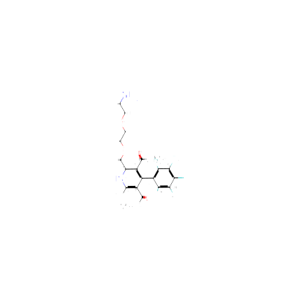 COC(=O)C1=C(C)NC(COCCOCCN)C(C(=O)OC)=C1c1c(F)c(F)c(F)c(F)c1F